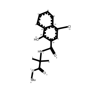 CC(C)(C)OC(=O)C(C)(C)NC(=O)c1cc(Cl)c2ccccc2c1O